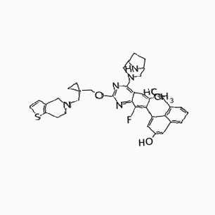 C#Cc1cccc2cc(O)cc(-c3c(C)cc4c(N5CC6CCC(C5)N6)nc(OCC5(CN6CCc7sccc7C6)CC5)nc4c3F)c12